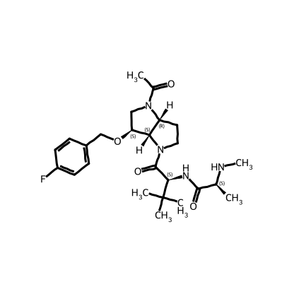 CN[C@@H](C)C(=O)N[C@H](C(=O)N1CC[C@@H]2[C@H]1[C@@H](OCc1ccc(F)cc1)CN2C(C)=O)C(C)(C)C